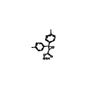 CCCCCCOC(=O)C1OC1(c1ccc(C)cc1)c1ccc(C)cc1